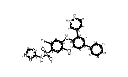 O=S(=O)(Nc1nncs1)c1cc(Cl)c(Oc2ccc(-c3ccccc3)cc2-c2ccnnc2)cc1F